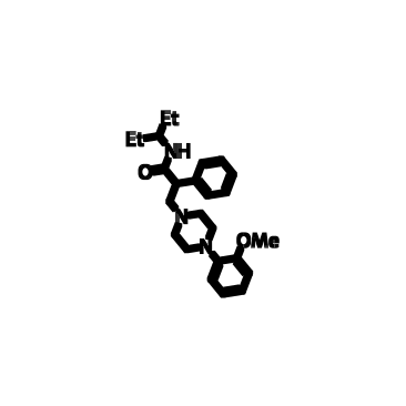 CCC(CC)NC(=O)C(CN1CCN(c2ccccc2OC)CC1)c1ccccc1